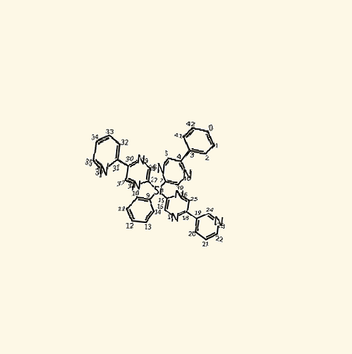 c1ccc(-c2cnc([Si](c3ccccc3)(c3cnc(-c4cccnc4)cn3)c3cnc(-c4ccccn4)cn3)cn2)cc1